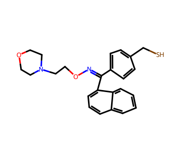 SCc1ccc(/C(=N/OCCN2CCOCC2)c2cccc3ccccc23)cc1